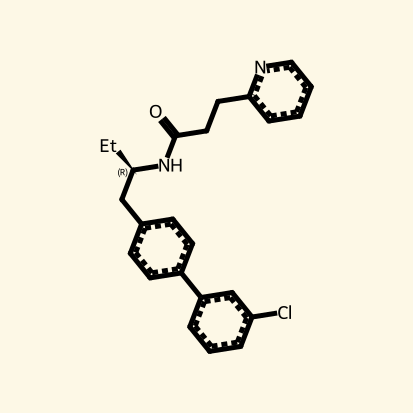 CC[C@H](Cc1ccc(-c2cccc(Cl)c2)cc1)NC(=O)CCc1ccccn1